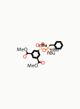 CCCCP(CCCC)(CCCC)(Cc1ccccc1)OS(=O)(=O)c1cc(C(=O)OC)cc(C(=O)OC)c1